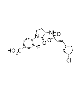 O=C(O)c1ccc(N2CCC(NS(=O)(=O)/C=C/C3=CCC(Cl)S3)C2=O)c(F)c1